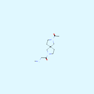 CNCC(=O)N1CCC2(CCN(C(C)=O)C2)C1